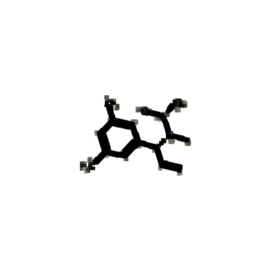 C=C[C@H](c1cc(C(F)(F)F)cc(C(F)(F)F)c1)N(C)[S@@+]([O-])C(C)(C)C